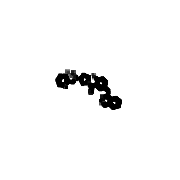 CN(Cc1ccccn1)[C@H]1CCN(C(=O)c2cc(Cc3nncc4ccccc34)ccc2F)C1